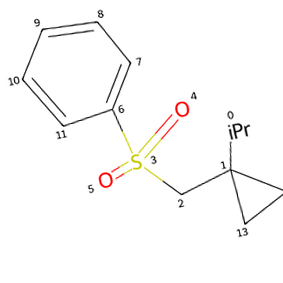 CC(C)C1(CS(=O)(=O)c2ccccc2)CC1